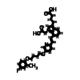 Cc1cc(F)ccc1OCCCCOc1ccc(/C=C/c2cccc3c(CCCC(=O)O)cn(CC(=O)O)c23)nc1